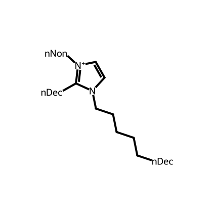 CCCCCCCCCCCCCCCn1cc[n+](CCCCCCCCC)c1CCCCCCCCCC